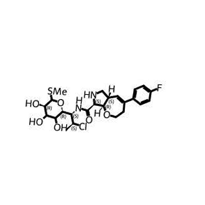 CSC1O[C@H]([C@H](NC(=O)[C@H]2NC[C@@H]3C=C(c4ccc(F)cc4)CCO[C@@H]23)[C@H](C)Cl)C(O)C(O)[C@H]1O